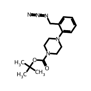 CC(C)(C)OC(=O)N1CCN(c2ccccc2CN=[N+]=[N-])CC1